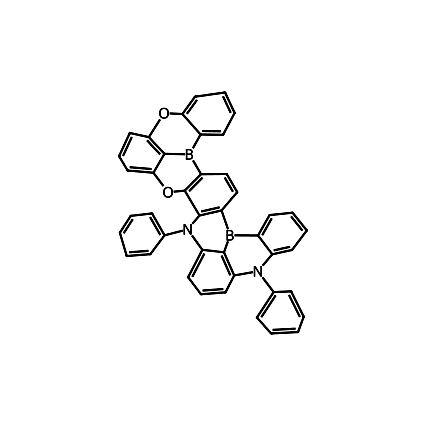 c1ccc(N2c3ccccc3B3c4ccc5c(c4N(c4ccccc4)c4cccc2c43)Oc2cccc3c2B5c2ccccc2O3)cc1